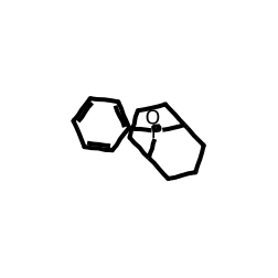 O=P1(c2ccccc2)C2CCCC1CCC2